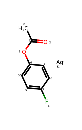 CC(=O)Oc1ccc(F)cc1.[Ag]